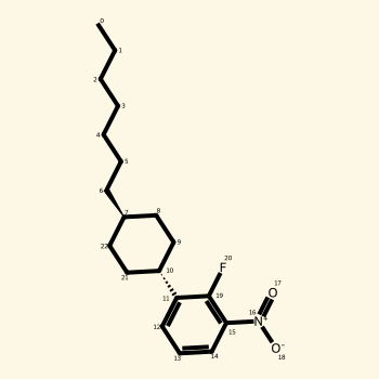 CCCCCCC[C@H]1CC[C@H](c2cccc([N+](=O)[O-])c2F)CC1